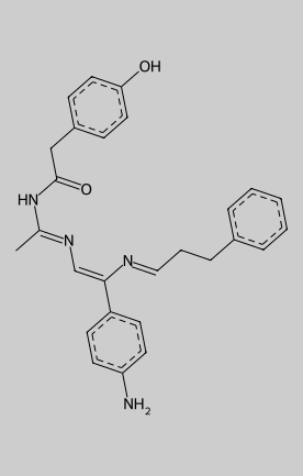 C\C(=N/C=C(\N=C\CCc1ccccc1)c1ccc(N)cc1)NC(=O)Cc1ccc(O)cc1